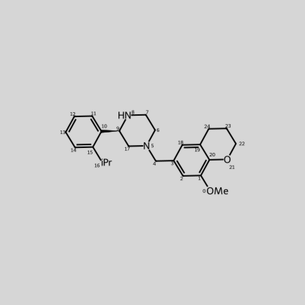 COc1cc(CN2CCN[C@H](c3ccccc3C(C)C)C2)cc2c1OCCC2